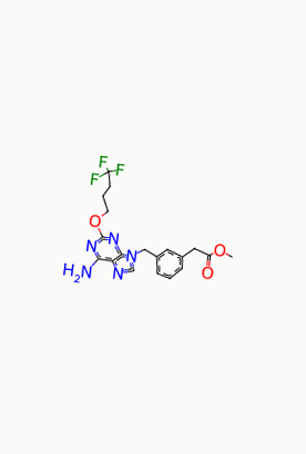 COC(=O)Cc1cccc(Cn2cnc3c(N)nc(OCCCC(F)(F)F)nc32)c1